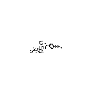 COC(=O)Oc1csc(NC(=O)C(CC2CCCC2)c2ccc(N)cc2)n1